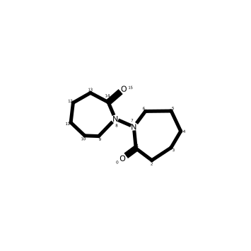 O=C1CCCCCN1N1CCCCCC1=O